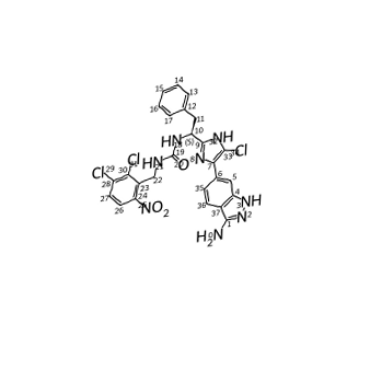 Nc1n[nH]c2cc(-c3nc([C@H](Cc4ccccc4)NC(=O)NCc4c([N+](=O)[O-])ccc(Cl)c4Cl)[nH]c3Cl)ccc12